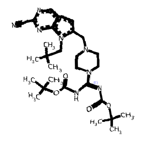 CC(C)(C)Cn1c(CN2CCN(/C(=N/C(=O)OC(C)(C)C)NC(=O)OC(C)(C)C)CC2)cc2cnc(C#N)nc21